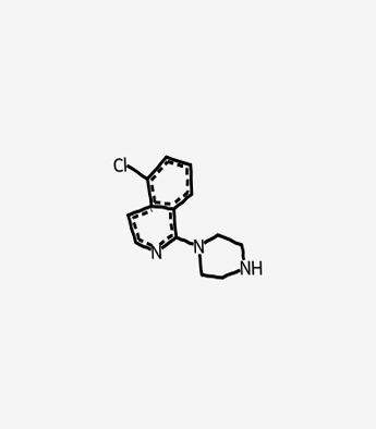 Clc1cccc2c(N3CCNCC3)nccc12